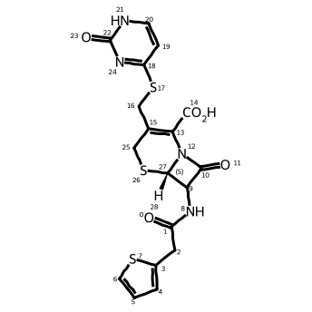 O=C(Cc1cccs1)NC1C(=O)N2C(C(=O)O)=C(CSc3cc[nH]c(=O)n3)CS[C@@H]12